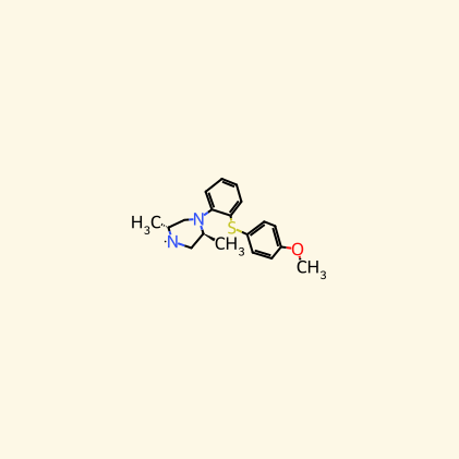 COc1ccc(Sc2ccccc2N2C[C@@H](C)[N]C[C@@H]2C)cc1